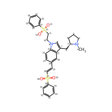 CN1CCC[C@@H]1Cc1cn(CCS(=O)(=O)c2ccccc2)c2ccc(/C=C/S(=O)(=O)c3ccccc3)cc12